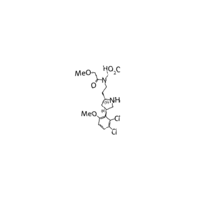 COCC(=O)N(CC[C@@H]1C[C@H](c2c(OC)ccc(Cl)c2Cl)CN1)CC(=O)O